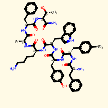 CC(C)[C@H](NC(=O)[C@H](CCCCN)NC(=O)[C@@H](Cc1c[nH]c2ccccc12)NC(=O)[C@H](Cc1ccc(O)cc1)NC(=O)[C@H](Cc1ccc([N+](=O)[O-])cc1)NC(=O)[C@H](N)Cc1ccccc1)C(=O)N[C@@H](Cc1ccccc1)C(=O)N[C@H](C(N)=O)[C@@H](C)O